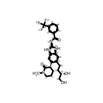 CN1CCC[C@H](c2cc3[nH]/c(=N/C(=O)c4cccc(C(F)(F)F)c4)[nH]c3cc2CC[C@H](O)CO)C1=O